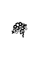 CCCCOc1c(C(=O)OC)n(C(CNC(=O)OC(C)(C)C)C2c3ccccc3CCc3ccccc32)cc(C(=O)OC)c1=O